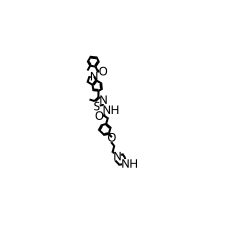 Cc1ccccc1C(=O)N1CCc2cc(-c3nc(NC(=O)Cc4cccc(OCCCN5CCNCC5)c4)sc3C)ccc21